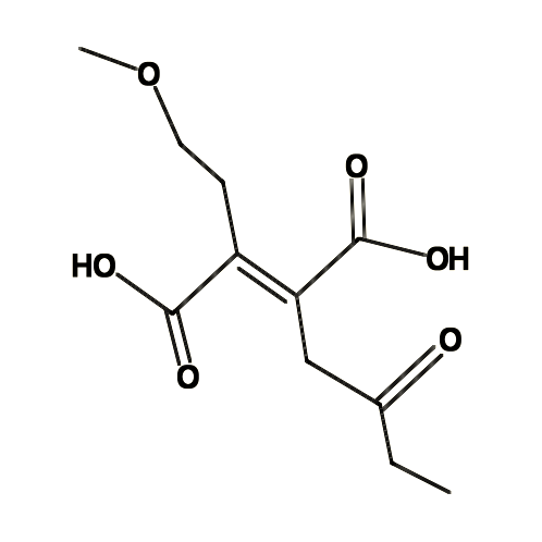 CCC(=O)C/C(C(=O)O)=C(/CCOC)C(=O)O